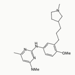 CNc1cc(C)nc(Nc2ccc(OC)c(CCCC3CCN(C)C3)c2)n1